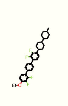 CCOc1ccc(-c2ccc(-c3ccc(C4CCC(C5CCC(C)CC5)CC4)c(F)c3F)cc2)c(F)c1F